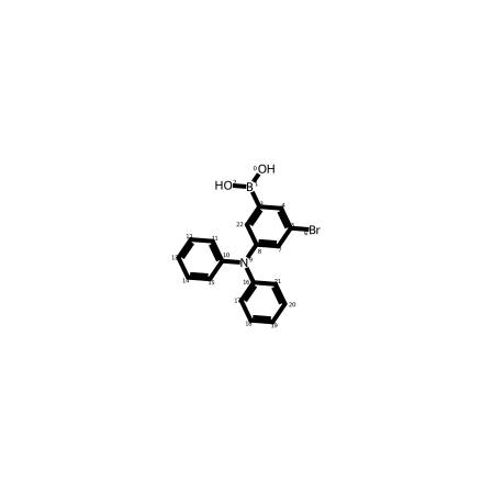 OB(O)c1cc(Br)cc(N(c2ccccc2)c2ccccc2)c1